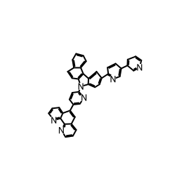 c1cncc(-c2ccc(-c3ccc4c(c3)c3c5ccccc5ccc3n4-c3ccc(-c4cc5cccnc5c5ncccc45)cn3)nc2)c1